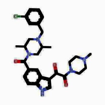 CC1CN(C(=O)c2ccc3[nH]cc(C(=O)C(=O)N4CCN(C)CC4)c3c2)C(C)CN1Cc1cccc(Cl)c1